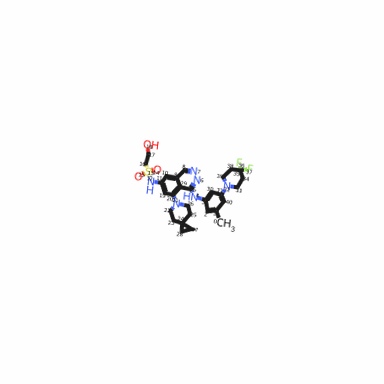 Cc1cc(Nc2nncc3cc(NS(=O)(=O)CCO)cc(N4CCC5(CC4)CC5)c23)cc(N2CCC(F)(F)CC2)c1